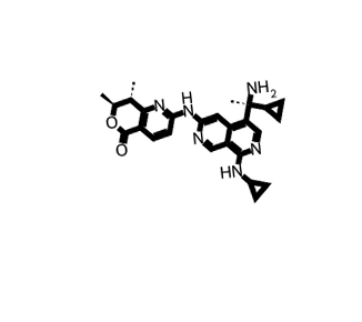 C[C@@H]1OC(=O)c2ccc(Nc3cc4c([C@@](C)(N)C5CC5)cnc(NC5CC5)c4cn3)nc2[C@H]1C